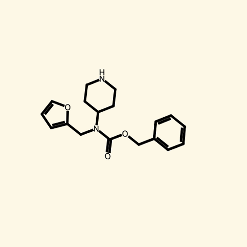 O=C(OCc1ccccc1)N(Cc1ccco1)C1CCNCC1